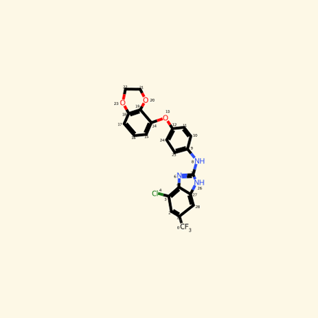 FC(F)(F)c1cc(Cl)c2nc(Nc3ccc(Oc4cccc5c4OCCO5)cc3)[nH]c2c1